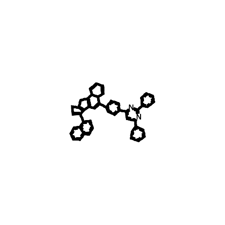 C1=CC2C(c3ccc(-c4cc(-c5ccccc5)nc(-c5ccccc5)n4)cc3)=CC3=C(CC4=C3C(c3cccc5ccccc35)=CC4)C2C=C1